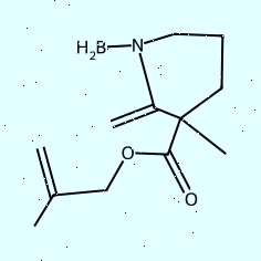 BN1CCCC(C)(C(=O)OCC(=C)C)C1=C